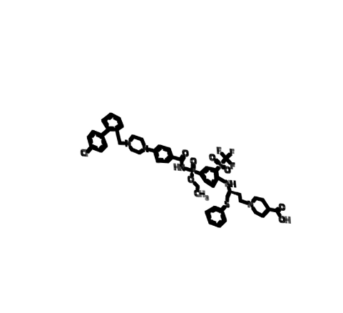 CCOP(=O)(NC(=O)c1ccc(N2CCN(Cc3ccccc3-c3ccc(Cl)cc3)CC2)cc1)c1ccc(N[C@@H](CCN2CCC(C(=O)O)CC2)CSc2ccccc2)c(S(=O)(=O)C(F)(F)F)c1